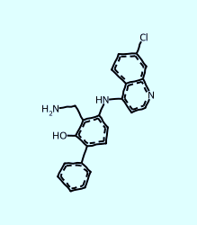 NCc1c(Nc2ccnc3cc(Cl)ccc23)ccc(-c2ccccc2)c1O